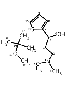 CN(C)CCC(O)c1cccs1.COC(C)(C)C